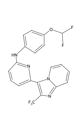 FC(F)Oc1ccc(Nc2cccc(-c3c(C(F)(F)F)nc4ccccn34)n2)cc1